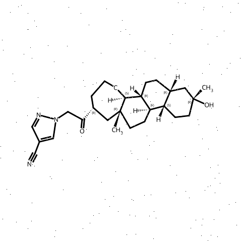 C[C@@]1(O)CC[C@H]2[C@H](CC[C@@H]3[C@@H]2CC[C@]2(C)C[C@H](C(=O)Cn4cc(C#N)cn4)CCC[C@@H]32)C1